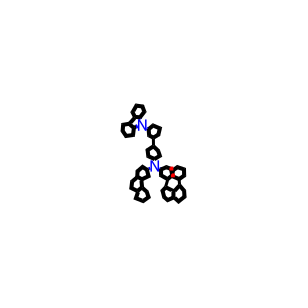 c1ccc(-c2cccc3cccc(-c4cccc(N(c5ccc(-c6cccc(-n7c8ccccc8c8ccccc87)c6)cc5)c5ccc6ccc7ccccc7c6c5)c4)c23)cc1